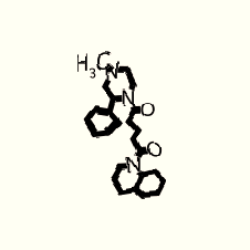 CN1CCN(C(=O)CCCC(=O)N2CCCC3CCCCC32)C(c2ccccc2)C1